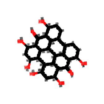 O=c1c2c(O)ccc3c4ccc(O)c5c(=O)c6c(O)cc(O)c7c8c(O)cc(O)c1c8c(c23)c(c54)c67